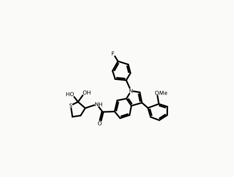 COc1ccccc1-c1cn(-c2ccc(F)cc2)c2cc(C(=O)NC3CCSC3(O)O)ccc12